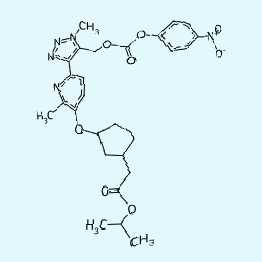 Cc1nc(-c2nnn(C)c2COC(=O)Oc2ccc([N+](=O)[O-])cc2)ccc1OC1CCC(CC(=O)OC(C)C)C1